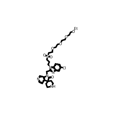 CCOCCOCCOCCOCCS(=O)(=O)CCCn1c(CN2C(=O)C3(CCNCC3)c3ccncc32)nc2cc(Cl)ccc21